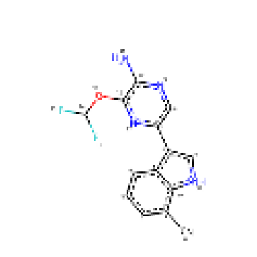 N#Cc1cccc2c(-c3cnc(N)c(OC(F)F)n3)c[nH]c12